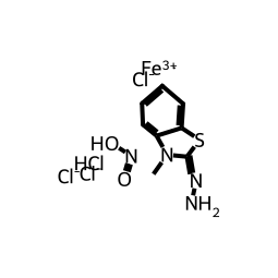 Cl.Cn1c(=NN)sc2ccccc21.O=NO.[Cl-].[Cl-].[Cl-].[Fe+3]